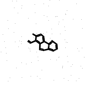 C=Cc1c(C)ccc2c1ccc1ccccc12